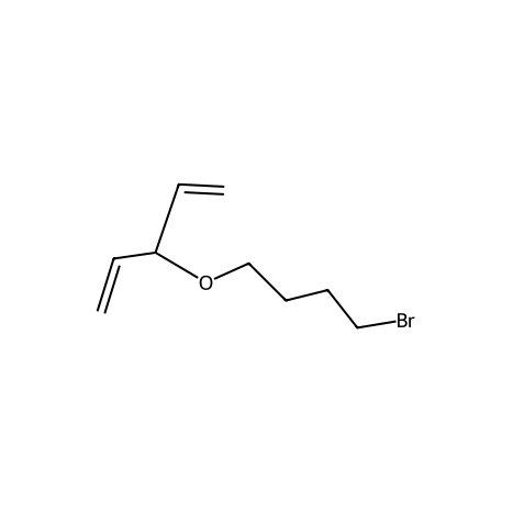 C=CC(C=C)OCCCCBr